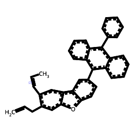 C=CCc1cc2oc3ccc(-c4c5ccccc5c(-c5ccccc5)c5ccccc45)cc3c2cc1/C=C\C